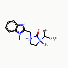 CCCC(C(=O)O)[N+]1(C(C)(C)C)CC[N@@+](C)(Cc2nc3ccccc3n2C)C1=O